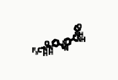 N=CC(CNC1CCOC1)c1ccn2c(-c3cccc(NC(=O)NCC(F)(F)F)c3)cnc2c1